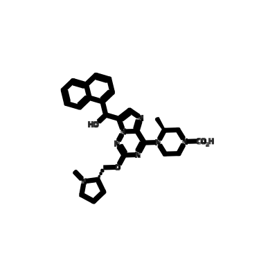 C[C@H]1CN(C(=O)O)CCN1c1nc(OC[C@@H]2CCCN2C)nn2c(C(O)c3cccc4ccccc34)cnc12